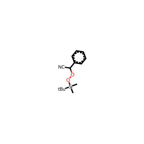 CC(C)(C)[Si](C)(C)OOC(C#N)c1ccccc1